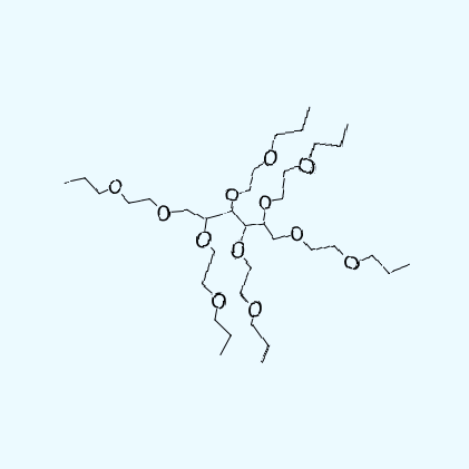 CCCOCCOCC(OCCOCCC)C(OCCOCCC)C(OCCOCCC)C(COCCOCCC)OCCOCCC